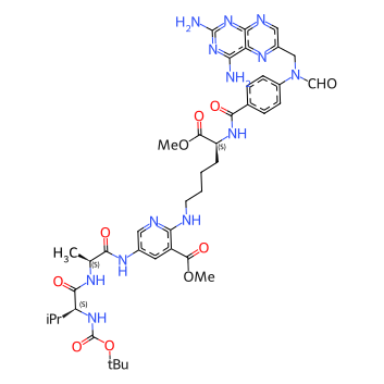 COC(=O)c1cc(NC(=O)[C@H](C)NC(=O)[C@@H](NC(=O)OC(C)(C)C)C(C)C)cnc1NCCCC[C@H](NC(=O)c1ccc(N(C=O)Cc2cnc3nc(N)nc(N)c3n2)cc1)C(=O)OC